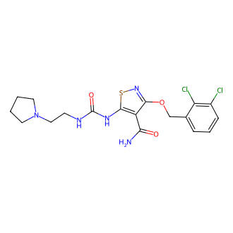 NC(=O)c1c(OCc2cccc(Cl)c2Cl)nsc1NC(=O)NCCN1CCCC1